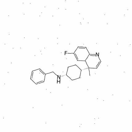 CC1([C@H]2CC[C@@H](NCc3ccccc3)CC2)C=CN=C2C=CC(F)=CC21